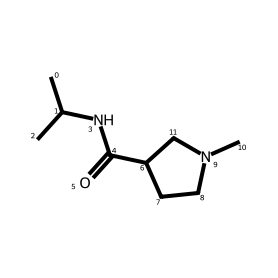 CC(C)NC(=O)C1CCN(C)C1